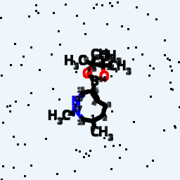 CC1CC/C=C(B2OC(C)(C)C(C)(C)O2)/C=N\N(C)C1